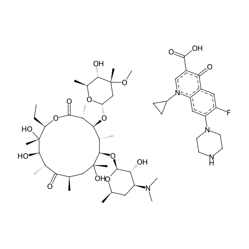 CC[C@H]1OC(=O)[C@H](C)[C@@H](O[C@H]2C[C@@](C)(OC)[C@@H](O)[C@H](C)O2)[C@H](C)[C@@H](O[C@@H]2O[C@H](C)C[C@H](N(C)C)[C@H]2O)[C@](C)(O)C[C@@H](C)C(=O)[C@H](C)[C@@H](O)[C@]1(C)O.O=C(O)c1cn(C2CC2)c2cc(N3CCNCC3)c(F)cc2c1=O